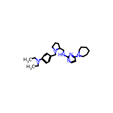 CCN(CC)c1ccc(CN2CCCC2CNc2nccc(N3CCCCCC3)n2)cc1